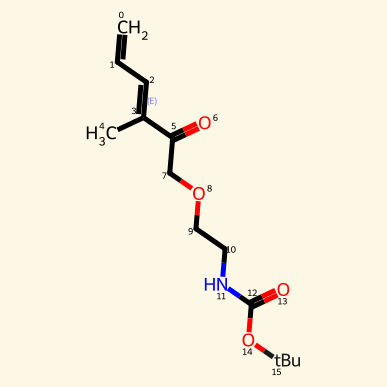 C=C/C=C(\C)C(=O)COCCNC(=O)OC(C)(C)C